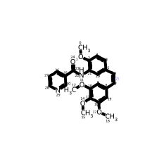 COc1ccc(/C=C\c2cc(OC)c(OC)c(OC)c2)cc1NC(=O)c1cccnc1